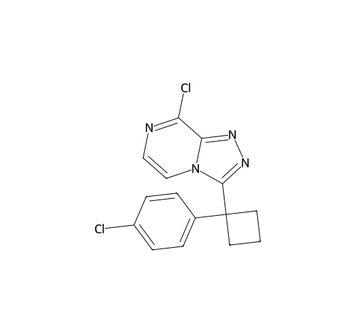 Clc1ccc(C2(c3nnc4c(Cl)nccn34)CCC2)cc1